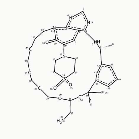 C[C@H]1Nc2ncnc3c2cc(N2CCS(=O)(=O)CC2)c(=O)n3CCCCCCCCCC(CN)CC(F)(F)c2cccc1c2